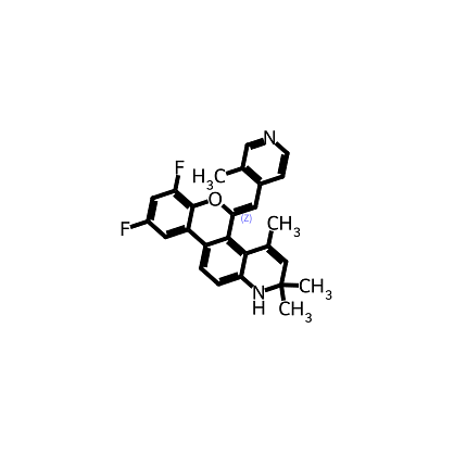 CC1=CC(C)(C)Nc2ccc3c(c21)/C(=C/c1ccncc1C)Oc1c(F)cc(F)cc1-3